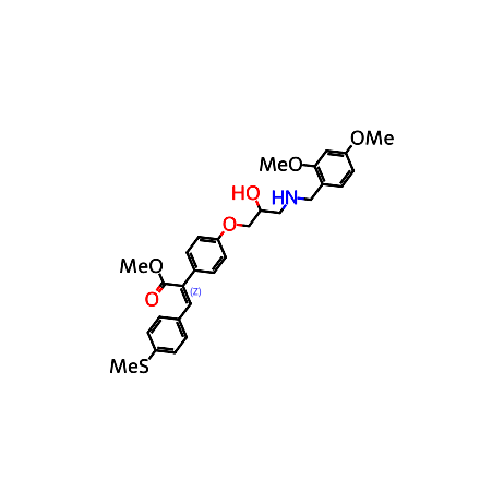 COC(=O)/C(=C\c1ccc(SC)cc1)c1ccc(OCC(O)CNCc2ccc(OC)cc2OC)cc1